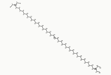 CCN(CC)CCCCCCCCCCCCCCCCCCCCOCCCCCCCCCCCCCCCCCCCCN(CC)CC